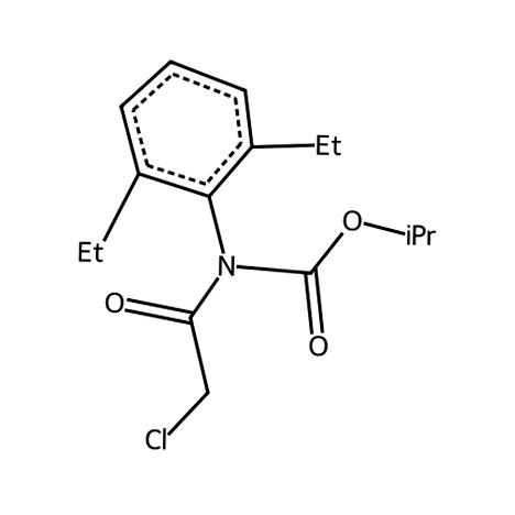 CCc1cccc(CC)c1N(C(=O)CCl)C(=O)OC(C)C